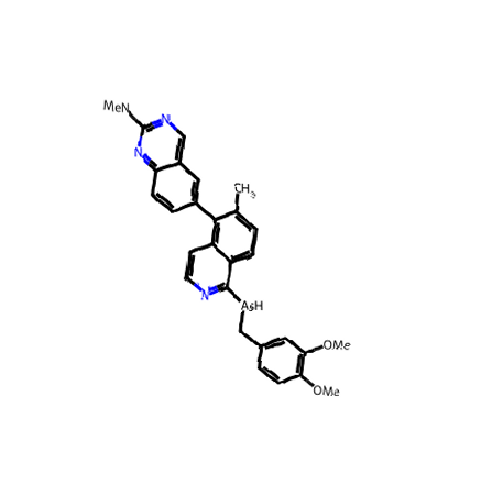 CNc1ncc2cc(-c3c(C)ccc4c([AsH]Cc5ccc(OC)c(OC)c5)nccc34)ccc2n1